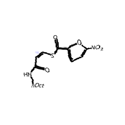 CCCCCCCCNC(=O)/C=C\SC(=O)c1ccc([N+](=O)[O-])o1